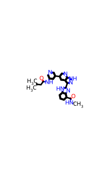 CNC(=O)c1cccc2[nH]c(-c3n[nH]c4ncc(-c5cncc(NC(=O)CC(C)C)c5)cc34)nc12